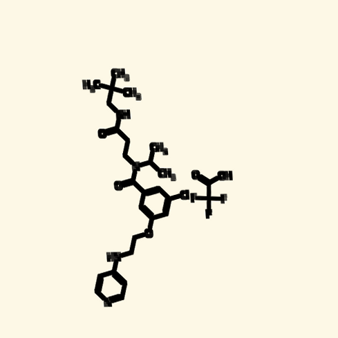 CC(C)N(CCC(=O)NCC(C)(C)C)C(=O)c1cc(Cl)cc(OCCNc2ccncc2)c1.O=C(O)C(F)(F)F